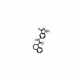 O=C(Nc1ccc2[nH]nc(I)c2c1)C1CCCc2ccccc21